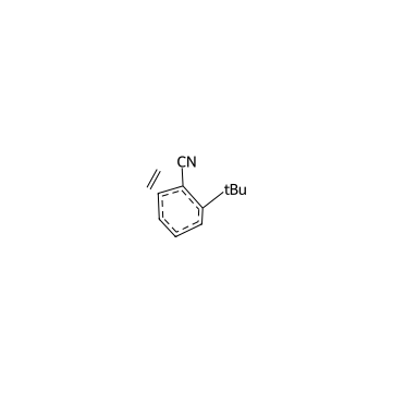 C=C.CC(C)(C)c1ccccc1C#N